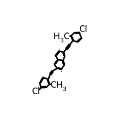 Cc1cc(Cl)ccc1C#Cc1[c]cc2cc(C#Cc3ccc(Cl)cc3C)[c]cc2c1